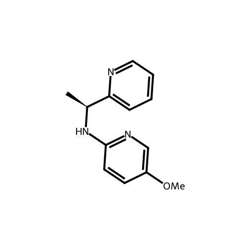 COc1ccc(N[C@@H](C)c2ccccn2)nc1